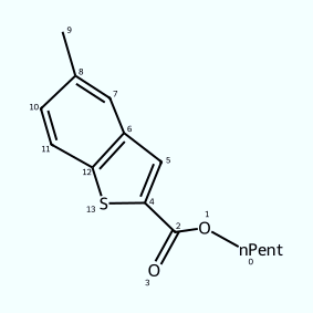 CCCCCOC(=O)c1cc2cc(C)ccc2s1